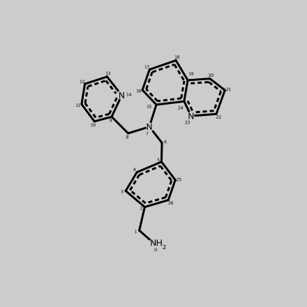 NCc1ccc(CN(Cc2ccccn2)c2cccc3cccnc23)cc1